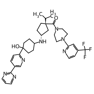 CC(C)[C@]1(C(=O)N2CCN(c3cc(C(F)(F)F)ccn3)CC2)CC[C@@H](NC2CCC(O)(c3ccc(-c4ncccn4)cn3)CC2)C1